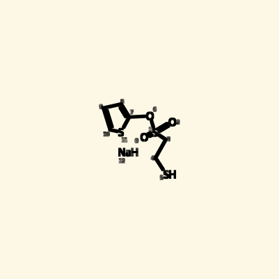 O=S(=O)(CCS)Oc1cccs1.[NaH]